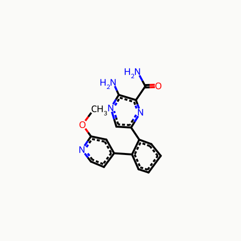 COc1cc(-c2ccccc2-c2cnc(N)c(C(N)=O)n2)ccn1